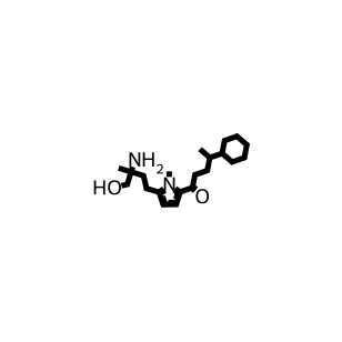 CC(CCC(=O)c1ccc(CCC(C)(N)CO)n1C)C1CCCCC1